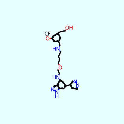 OCCc1cc(CNCCCCOCCNc2cc(-c3ccnnc3)cc3[nH]ncc23)cc(OC(F)(F)F)c1